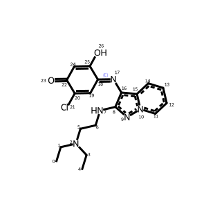 CCN(CC)CCNc1nn2ccccc2c1/N=C1\C=C(Cl)C(=O)C=C1O